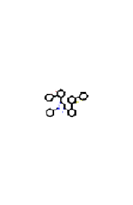 c1ccc(-c2nc(-c3ccccc3-c3cccc4c3sc3ccccc34)cc(-c3cccc4oc5ccccc5c34)n2)cc1